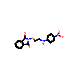 O=C1c2ccccc2C(=O)N1OCCNc1ccc([N+](=O)[O-])cc1